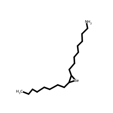 CCCCCCCCC1[Se]C1CCCCCCCCN